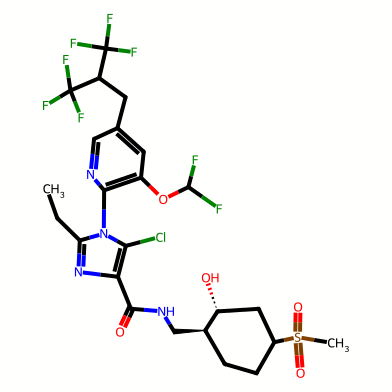 CCc1nc(C(=O)NC[C@@H]2CCC(S(C)(=O)=O)C[C@H]2O)c(Cl)n1-c1ncc(CC(C(F)(F)F)C(F)(F)F)cc1OC(F)F